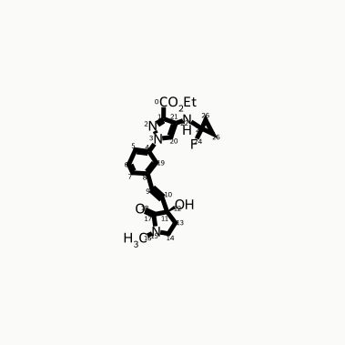 CCOC(=O)c1nn(-c2cccc(C#C[C@]3(O)CCN(C)C3=O)c2)cc1NC1(F)CC1